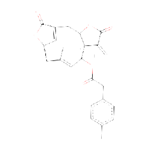 C=C1C(=O)OC2CC3=C[C@@H](C/C(C)=C/C(OC(=O)Cc4ccc(C)cc4)[C@H]12)OC3=O